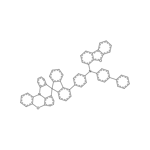 c1ccc(-c2ccc(N(c3ccc(-c4cccc5c4-c4ccccc4C54c5ccccc5N5c6ccccc6Oc6cccc4c65)cc3)c3cccc4c3oc3ccccc34)cc2)cc1